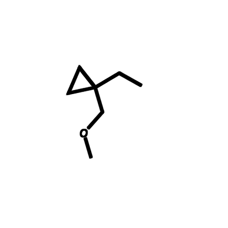 CCC1(COC)CC1